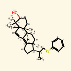 CC(CSc1ccccc1)[C@H]1CCC2=C3C=C[C@@H]4C(C)(C)[C@@H](O)CC[C@]4(C)[C@H]3CC[C@@]21C